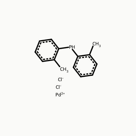 Cc1ccccc1Pc1ccccc1C.[Cl-].[Cl-].[Pd+2]